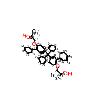 CC(O)COc1ccc(C(c2ccccc2)(c2ccccc2)c2ccc(OCC(C)O)c(-c3ccccc3)c2)cc1-c1ccccc1